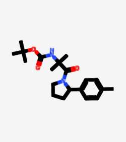 Cc1ccc(C2CCCN2C(=O)C(C)(C)NC(=O)OC(C)(C)C)cc1